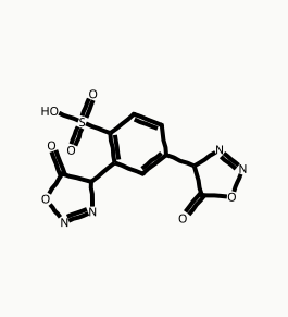 O=C1ON=NC1c1ccc(S(=O)(=O)O)c(C2N=NOC2=O)c1